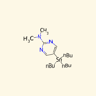 CCC[CH2][Sn]([CH2]CCC)([CH2]CCC)[c]1cnc(N(C)C)nc1